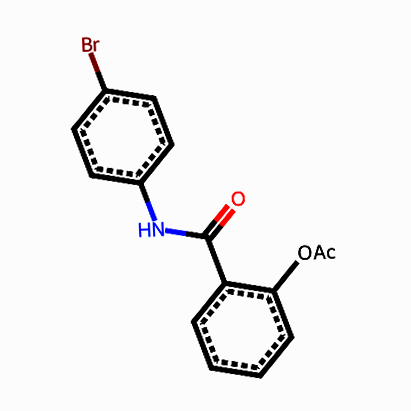 CC(=O)Oc1ccccc1C(=O)Nc1ccc(Br)cc1